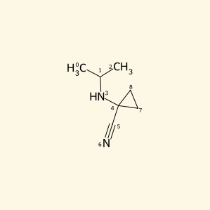 CC(C)NC1(C#N)CC1